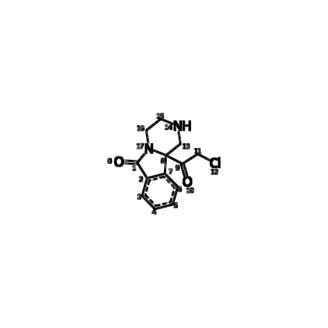 O=C1c2ccccc2C2(C(=O)CCl)CNCCN12